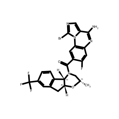 C[C@H]1CN(C(=O)c2cc3c(cc2F)nc(N)c2cnc(Br)n23)[C@H]2c3ccc(C(F)(F)F)cc3C[C@H]2O1